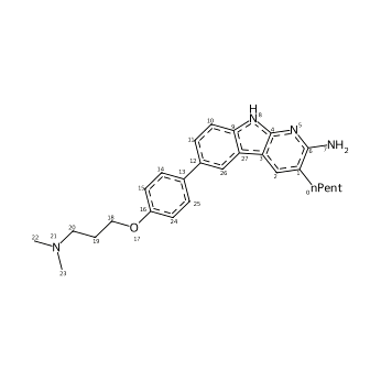 CCCCCc1cc2c(nc1N)[nH]c1ccc(-c3ccc(OCCCN(C)C)cc3)cc12